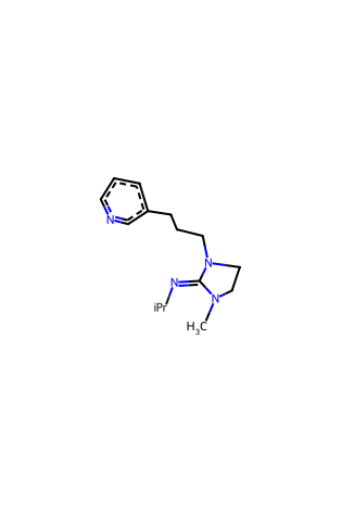 CC(C)N=C1N(C)CCN1CCCc1cccnc1